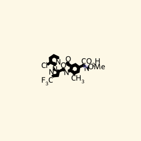 CO/N=C(\C(=O)O)c1cc(C)c2nc(-c3cc(C(F)(F)F)nn3-c3ncccc3Cl)oc(=O)c2c1